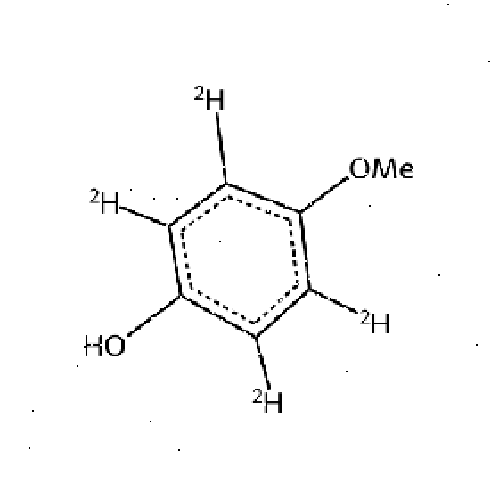 [2H]c1c([2H])c(OC)c([2H])c([2H])c1O